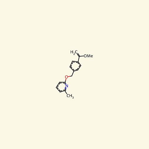 C=C(OC)c1ccc(COc2cccc(C)n2)cc1